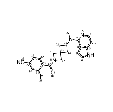 CN(c1ncnc2[nH]ccc12)C1CC2(C1)CN(C(=O)c1ccc(C#N)cc1F)C2